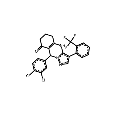 O=C1CCCC2=C1C(c1ccc(Cl)c(Cl)c1)n1ncc(-c3ccccc3C(F)(F)F)c1N2